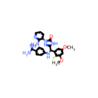 COc1cc(OC)c(F)c(C(Nc2ccc(C(=N)N)cc2)c2nn(-c3cccnc3N)c(=O)[nH]2)c1